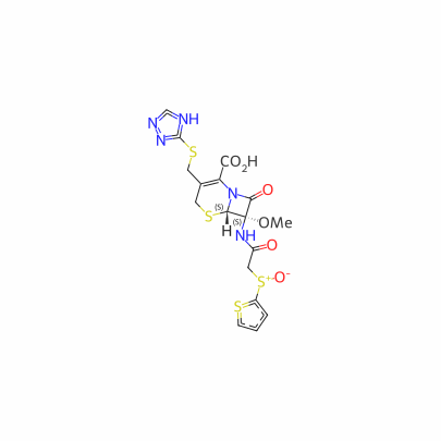 CO[C@@]1(NC(=O)C[S+]([O-])c2cccs2)C(=O)N2C(C(=O)O)=C(CSc3nnc[nH]3)CS[C@H]21